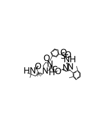 Cc1cccc(C)c1-c1cc2nc(n1)NS(=O)(=O)c1cccc(c1)C(=O)N1CCN(C[C@H]3CC(C)(C)NC3=O)C[C@@H]1CO2